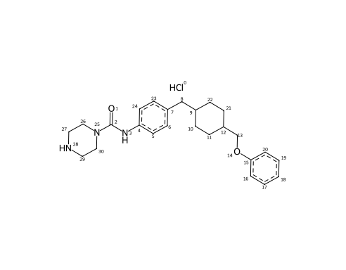 Cl.O=C(Nc1ccc(CC2CCC(COc3ccccc3)CC2)cc1)N1CCNCC1